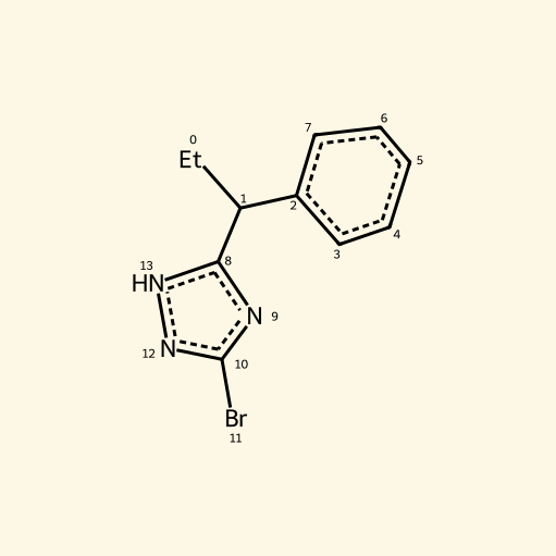 CCC(c1ccccc1)c1nc(Br)n[nH]1